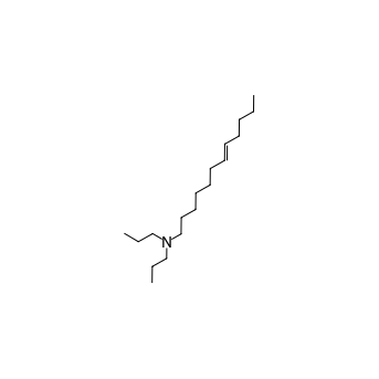 CCCCC=CCCCCCCN(CCC)CCC